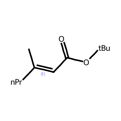 CCC/C(C)=C/C(=O)OC(C)(C)C